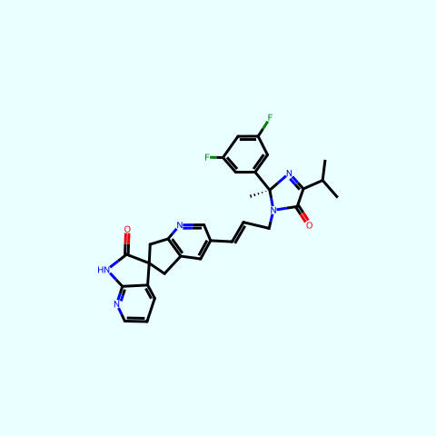 CC(C)C1=N[C@](C)(c2cc(F)cc(F)c2)N(C/C=C/c2cnc3c(c2)CC2(C3)C(=O)Nc3ncccc32)C1=O